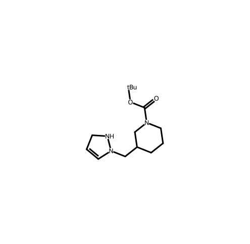 CC(C)(C)OC(=O)N1CCCC(CN2C=CCN2)C1